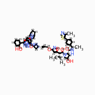 Cc1ncsc1-c1ccc([C@H](C)NC(=O)[C@@H]2C[C@@H](O)CN2C(=O)[C@@H](c2cc(OCC#C[C@H]3C[C@@H](Oc4cc(N5C6CCC5CN(c5cc(-c7ccccc7O)nnc5N)C6)ccn4)C3)no2)C(C)C)cc1